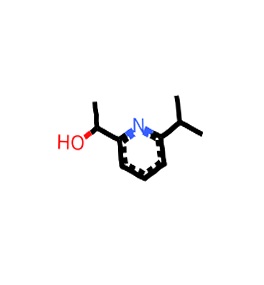 CC(C)c1cccc(C(C)O)n1